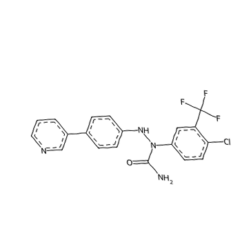 NC(=O)N(Nc1ccc(-c2cccnc2)cc1)c1ccc(Cl)c(C(F)(F)F)c1